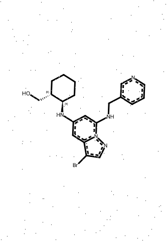 OC[C@@H]1CCCC[C@H]1Nc1cc(NCc2cccnc2)n2ncc(Br)c2c1